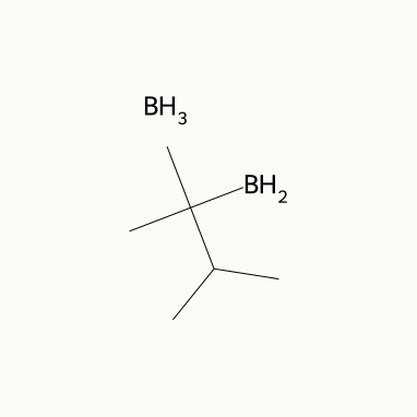 B.BC(C)(C)C(C)C